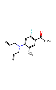 C=CCN(CC=C)c1cc(F)c(C(=O)OC)cc1[N+](=O)[O-]